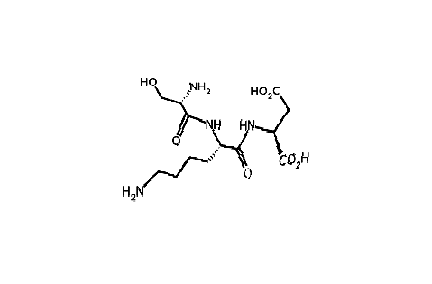 NCCCC[C@H](NC(=O)[C@@H](N)CO)C(=O)N[C@@H](CC(=O)O)C(=O)O